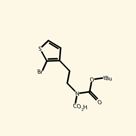 CC(C)(C)OC(=O)N(CCc1ccsc1Br)C(=O)O